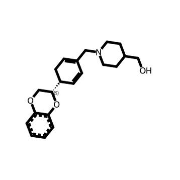 OCC1CCN(CC2=CCC([C@H]3COc4ccccc4O3)C=C2)CC1